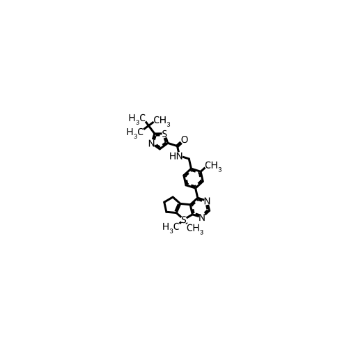 Cc1cc(-c2ncnc3c2C2=C(CCC2)S3(C)C)ccc1CNC(=O)c1cnc(C(C)(C)C)s1